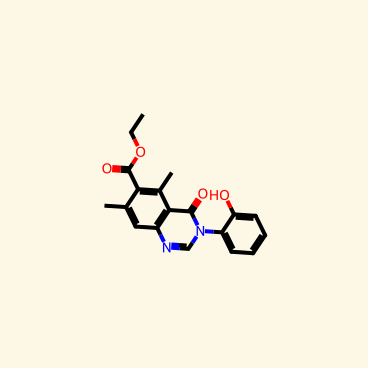 CCOC(=O)c1c(C)cc2ncn(-c3ccccc3O)c(=O)c2c1C